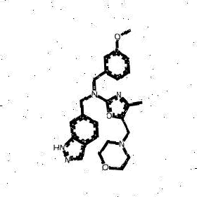 COc1cccc(CN(Cc2ccc3cn[nH]c3c2)c2nc(C)c(CN3CCOCC3)o2)c1